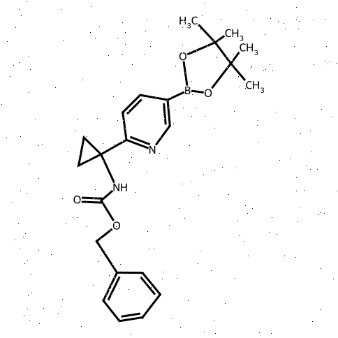 CC1(C)OB(c2ccc(C3(NC(=O)OCc4ccccc4)CC3)nc2)OC1(C)C